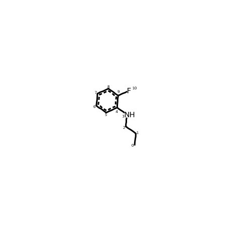 CCCNc1cc[c]cc1F